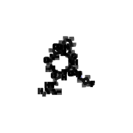 N=C(N)NCCC[C@@H]1NC(=O)[C@H](CO/N=C/C2CC(F)C2)NC(=O)[C@H](Cc2ccccc2)NC(=O)C(CC(=O)O)NC(=O)CNC1=O